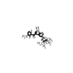 CC1(C)OB(c2cnc3[nH]cc(C(=O)c4c(F)ccc(N)c4F)c3c2)OC1(C)C